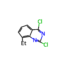 CCc1cccc2c(Cl)nc(Cl)nc12